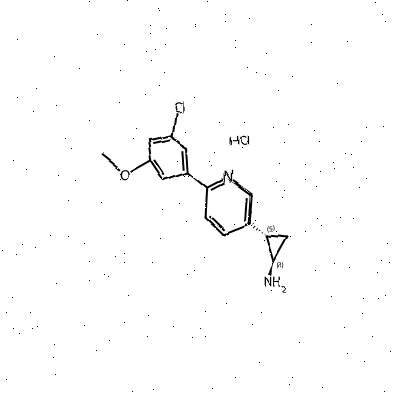 COc1cc(Cl)cc(-c2ccc([C@@H]3C[C@H]3N)cn2)c1.Cl